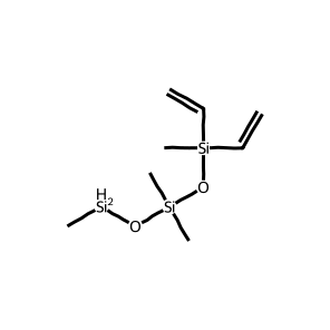 C=C[Si](C)(C=C)O[Si](C)(C)O[SiH2]C